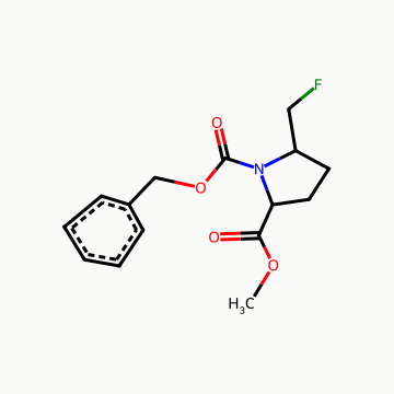 COC(=O)C1CCC(CF)N1C(=O)OCc1ccccc1